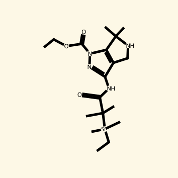 CCOC(=O)n1nc(NC(=O)C(C)(C)[Si](C)(C)CC)c2c1C(C)(C)NC2